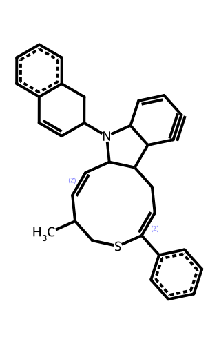 CC1/C=C\C2C(C/C=C(/c3ccccc3)SC1)C1C#CC=CC1N2C1C=Cc2ccccc2C1